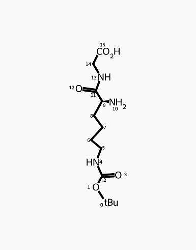 CC(C)(C)OC(=O)NCCCC[C@H](N)C(=O)NCC(=O)O